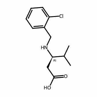 CC(C)[C@@H](CC(=O)O)NCc1ccccc1Cl